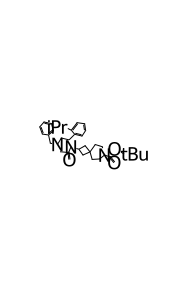 CC(C)c1ccccc1C1CN(Cc2ccccc2)CC(=O)N1C1CC2(CCN(C(=O)OC(C)(C)C)CC2)C1